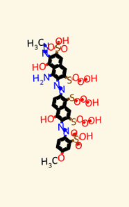 CN=Nc1c(S(=O)(=O)O)cc2cc(SOOO)c(N=Nc3ccc4c(O)c(N=Nc5ccc(OC)cc5S(=O)(=O)O)c(SOOO)cc4c3SOOO)c(N)c2c1O